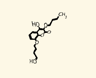 CCCCOc1c(O)c2cccc(OCCCCO)c2oc1=O